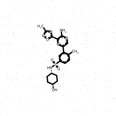 Cc1noc(-c2nc(-c3cc(S(=O)(=O)N[C@H]4CC[C@H](O)CC4)ccc3C)cnc2N)n1